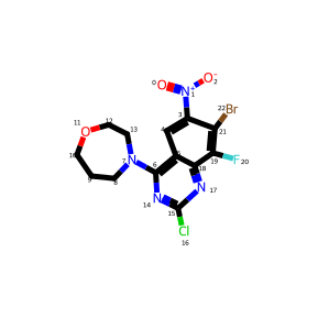 O=[N+]([O-])c1cc2c(N3CCCOCC3)nc(Cl)nc2c(F)c1Br